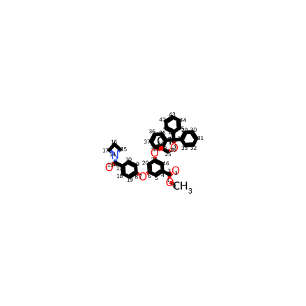 COC(=O)c1cc(Oc2ccc(C(=O)N3CCC3)cc2)cc(O[C@@H](C)COC(c2ccccc2)(c2ccccc2)c2ccccc2)c1